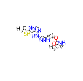 CC(S)c1cc2c(Nc3cc([C@H]4CC[C@@H](OC(=O)NC5(C)CC5)C4)[nH]n3)nccn2n1